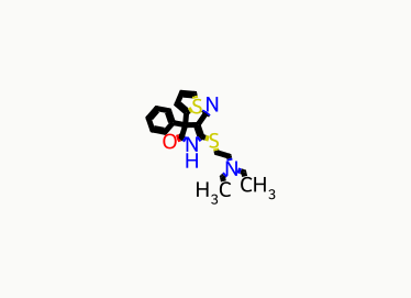 CCN(CC)CCSC1=C(C#N)C(c2ccccc2)(c2cccs2)C(=O)N1